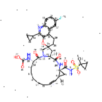 CC1(S(=O)(=O)NC(=O)[C@@]23C[C@H]2/C=C\CCCCC[C@H](NC(=O)O)C(=O)N2C[C@@]4(CCc5c(c(C6CC6)nc6ccc(F)cc56)O4)C[C@H]2C(=O)N3)CC1